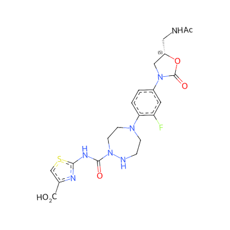 CC(=O)NC[C@H]1CN(c2ccc(N3CCNN(C(=O)Nc4nc(C(=O)O)cs4)CC3)c(F)c2)C(=O)O1